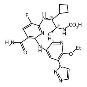 CCOc1ncc(Nc2nc(N[C@@H](C3CCC3)[C@H](C)NC(=O)O)c(F)cc2C(N)=O)cc1-n1ccnn1